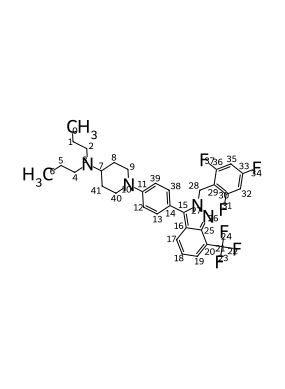 CCCN(CCC)C1CCN(c2ccc(-c3c4cccc(C(F)(F)F)c4nn3Cc3c(F)cc(F)cc3F)cc2)CC1